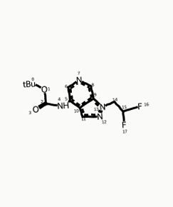 CC(C)(C)OC(=O)Nc1cncc2c1cnn2CC(F)F